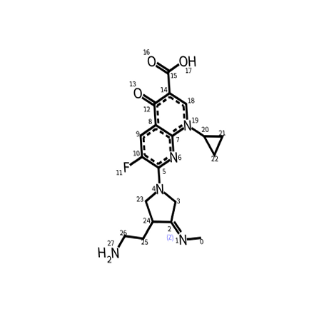 C/N=C1\CN(c2nc3c(cc2F)c(=O)c(C(=O)O)cn3C2CC2)CC1CCN